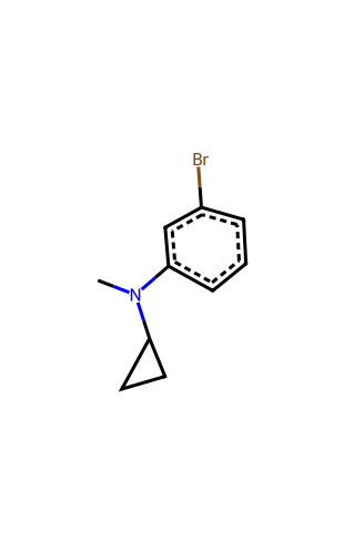 CN(c1cccc(Br)c1)C1CC1